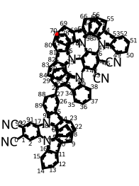 N#Cc1cc(-n2c3ccccc3c3ccccc32)c(-n2c3ccccc3c3cc(-c4cccc5c4c4ccccc4n5-c4c(C#N)c(C#N)c(-n5c6ccccc6c6ccccc65)c(-n5c6ccccc6c6ccccc65)c4-n4c5ccccc5c5ccccc54)ccc32)cc1C#N